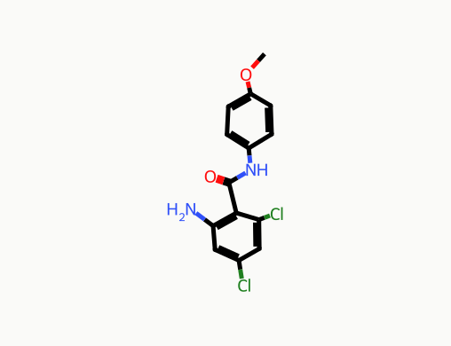 COc1ccc(NC(=O)c2c(N)cc(Cl)cc2Cl)cc1